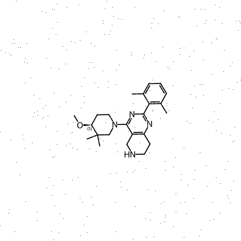 CO[C@H]1CCN(c2nc(-c3c(C)cccc3C)nc3c2CNCC3)CC1(C)C